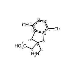 NCC1(CC(=O)O)Cc2c(Cl)ccc(Cl)c2C1